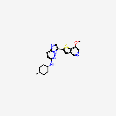 COc1cncc2cc(-c3cnc4ccc(N[C@H]5CC[C@H](C)CC5)nn34)sc12